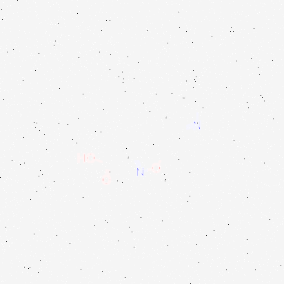 O=C(O)Cc1noc2cc3ncccc3cc12